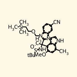 COc1cc(C)c2[nH]ccc2c1C(C)(N[S+]([O-])C(C)(C)C)c1nc2cc(C#N)ccc2n1COCC[Si](C)(C)C